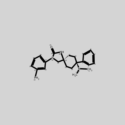 CN(C)[C@]1(c2ccccc2)CC[C@]2(CC1)CN(c1cccc(P)c1)C(=O)N2